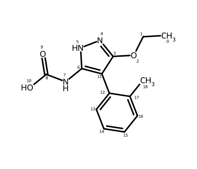 CCOc1n[nH]c(NC(=O)O)c1-c1ccccc1C